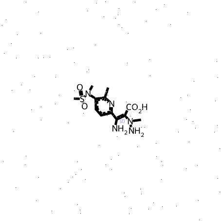 Cc1nc(/C(N)=C(\C(=O)O)N(C)N)ccc1N(C)S(C)(=O)=O